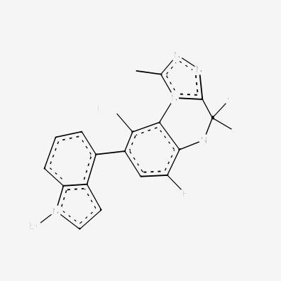 CCn1ccc2c(-c3cc(F)c4c(c3C)-n3c(C)nnc3C(C)(C)N4)cccc21